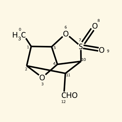 CC1C2OC3C1OS(=O)(=O)C3C2C=O